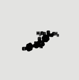 COC(=O)c1ccc(-n2cnc3cc(-c4ccc(Cl)cc4)sc3c2=O)cc1OC